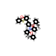 C[Si]1(C)c2ccccc2Oc2c(N(c3ccc(-c4cccc5c4Sc4ccccc4O5)cc3)c3cccc4c3Oc3ccccc3[Si]4(C)C)cccc21